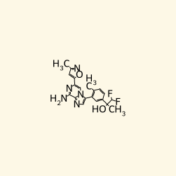 Cc1cc(-c2cn3c(-c4cc(C(C)(O)C(F)F)ccc4C)cnc3c(N)n2)on1